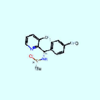 CC(C)(C)[S@+]([O-])N[C@@H](c1ccc(C=O)cc1)c1ncccc1C(F)(F)F